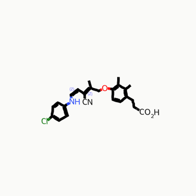 C/C(COc1ccc(CCC(=O)O)c(C)c1C)=C(C#N)\C=C/Nc1ccc(Cl)cc1